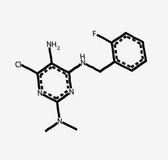 CN(C)c1nc(Cl)c(N)c(NCc2ccccc2F)n1